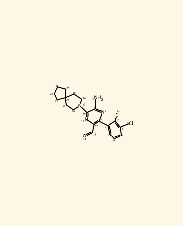 Nc1nc(-c2cccc(Cl)c2Cl)c(C=O)nc1N1CCC2(CCCC2)CC1